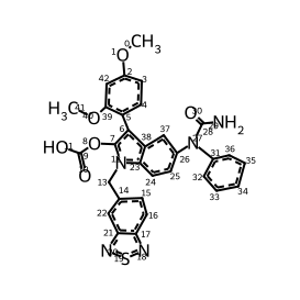 COc1ccc(-c2c(OC(=O)O)n(Cc3ccc4nsnc4c3)c3ccc(N(C(N)=O)c4ccccc4)cc23)c(OC)c1